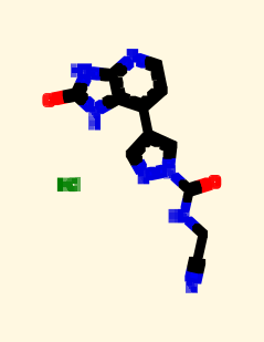 Cl.N#CCNC(=O)n1cc(-c2ccnc3[nH]c(=O)[nH]c23)cn1